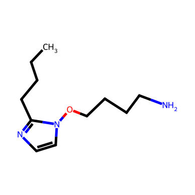 CCCCc1nccn1OCCCCN